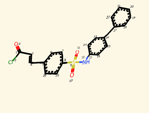 O=C(Cl)C=Cc1ccc(S(=O)(=O)Nc2ccc(-c3ccccc3)cc2)cc1